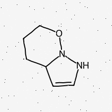 [CH]1CCON2NC=CC12